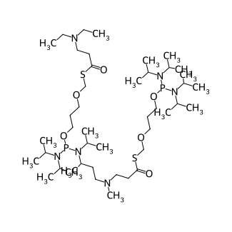 CCN(CC)CCC(=O)SCOCCCOP(N(C(C)C)C(C)C)N(C(C)C)C(C)CCN(C)CCC(=O)SCOCCCOP(N(C(C)C)C(C)C)N(C(C)C)C(C)C